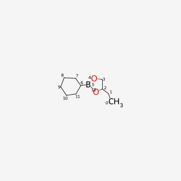 CCC1COB(C2CCCCC2)O1